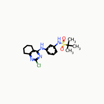 CC(C)(C)S(=O)(=O)Nc1cccc(Nc2nc(Cl)nc3c2CCCC3)c1